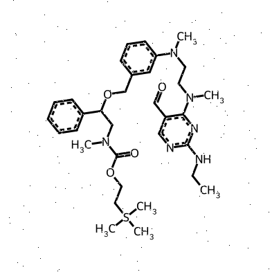 CCNc1ncc(C=O)c(N(C)CCN(C)c2cccc(COC(CN(C)C(=O)OCCS(C)(C)C)c3ccccc3)c2)n1